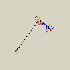 CCOP(=O)(C[C@H](O)CNCc1c[nH]c2c(=O)[nH]cnc12)OCCCCCCCCCCCCCCCCCCCCCO